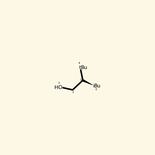 CC[C@H](C)C(CO)C(C)(C)C